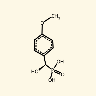 COc1ccc([C@H](O)P(=O)(O)O)cc1